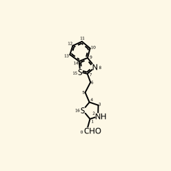 O=CC1NCC(CCc2nc3ccccc3s2)S1